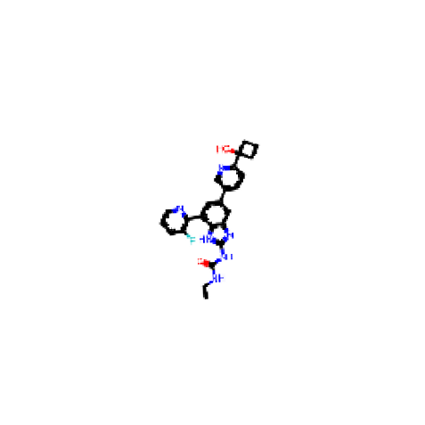 CCNC(=O)Nc1nc2cc(-c3ccc(C4(O)CCC4)nc3)cc(-c3ncccc3F)c2[nH]1